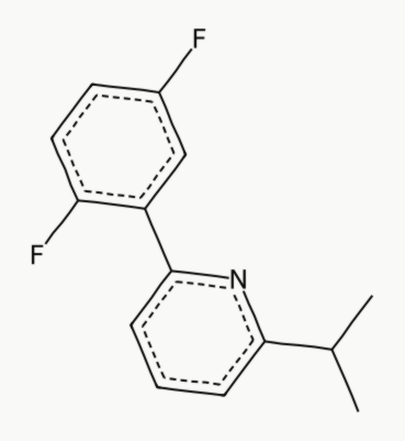 CC(C)c1cccc(-c2cc(F)ccc2F)n1